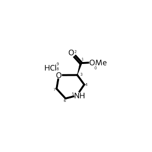 COC(=O)[C@H]1CNCCO1.Cl